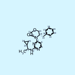 C[C@H](Nc1nccc(N2C3OC3OC[C@@H]2Cc2ccccc2)n1)C1CC1